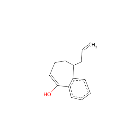 C=CCC1CCC=C(O)c2ccccc21